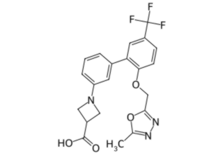 Cc1nnc(COc2ccc(C(F)(F)F)cc2-c2cccc(N3CC(C(=O)O)C3)c2)o1